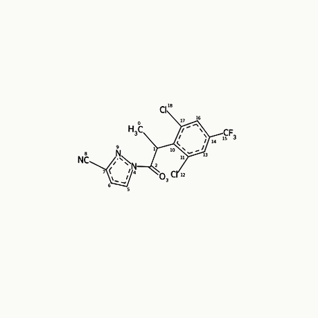 CC(C(=O)n1ccc(C#N)n1)c1c(Cl)cc(C(F)(F)F)cc1Cl